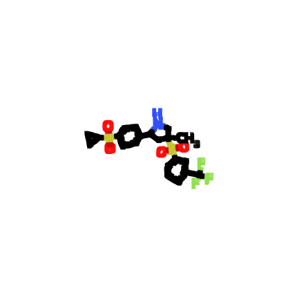 CC1(S(=O)(=O)c2cccc(C(F)(F)F)c2)CNC(c2ccc(S(=O)(=O)C3CC3)cc2)C1